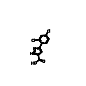 O=C(O)c1cc(-c2ccc(Cl)cc2Cl)n[nH]1